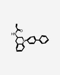 C=CC(=O)NC1Cc2ccccc2N(c2ccc(-c3ccccc3)cc2)C1